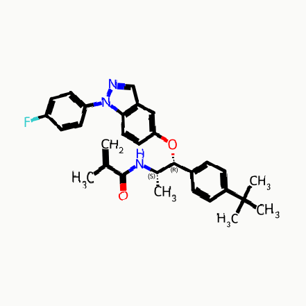 C=C(C)C(=O)N[C@@H](C)[C@H](Oc1ccc2c(cnn2-c2ccc(F)cc2)c1)c1ccc(C(C)(C)C)cc1